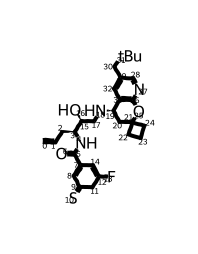 C=CC[C@H](NC(=O)C1=CC(=S)CC(F)=C1)[C@H](O)CN[C@H]1CC2(CCC2)Oc2ncc(CC(C)(C)C)cc21